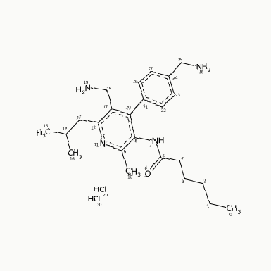 CCCCCC(=O)Nc1c(C)nc(CC(C)C)c(CN)c1-c1ccc(CN)cc1.Cl.Cl